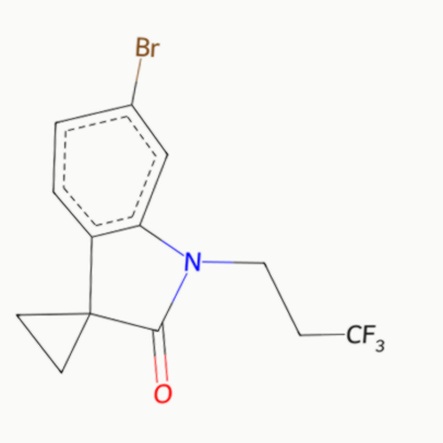 O=C1N(CCC(F)(F)F)c2cc(Br)ccc2C12CC2